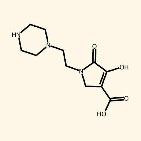 O=C(O)C1=C(O)C(=O)N(CCN2CCNCC2)C1